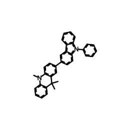 CN1c2ccccc2C(C)(C)c2cc(-c3ccc4c(c3)c3ccccc3n4-c3ccccc3)ccc21